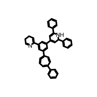 C1=CC=C(c2ccccc2)C=CC=1c1cc(C2=CC(c3ccccc3)NC(c3ccccc3)=C2)cc(C2=CCCC=N2)c1